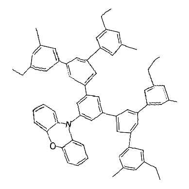 CCc1cc(C)cc(-c2cc(-c3cc(C)cc(CC)c3)cc(-c3cc(-c4cc(-c5cc(C)cc(CC)c5)cc(-c5cc(C)cc(CC)c5)c4)cc(N4c5ccccc5Oc5ccccc54)c3)c2)c1